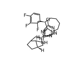 Fc1ccc([C@H]2CCCCn3nc(N[C@@H]4C5CC[C@H]4CN(c4cnnc(Cl)c4)C5)nc32)c(F)c1F